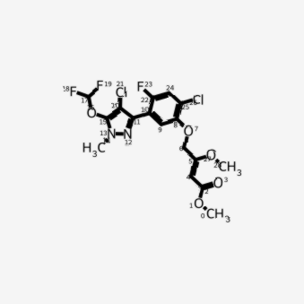 COC(=O)C=C(COc1cc(-c2nn(C)c(OC(F)F)c2Cl)c(F)cc1Cl)OC